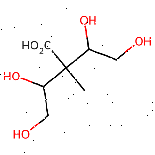 CC(C(=O)O)(C(O)CO)C(O)CO